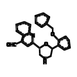 O=Cc1cc(C2CNCC(c3ccccc3OCc3ccccc3)O2)nc2ccccc12